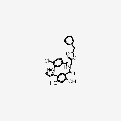 O=C(NCC1=COC(Cc2ccccc2)O1)c1cc(-c2ccnn2-c2cc(F)ccc2Cl)c(O)cc1O